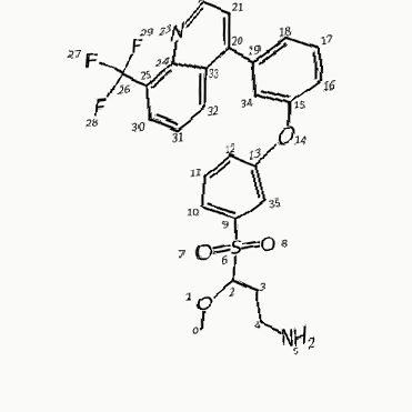 COC(CCN)S(=O)(=O)c1cccc(Oc2cccc(-c3ccnc4c(C(F)(F)F)cccc34)c2)c1